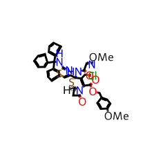 CON=CC(=O)NC1(c2csc(NC(c3ccccc3)(c3ccccc3)c3ccccc3)n2)S[C@H]2CC(=O)N2C(C(=O)OCc2ccc(OC)cc2)=C1CCl